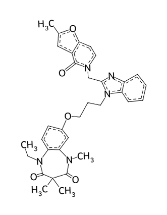 CCN1C(=O)C(C)(C)C(=O)N(C)c2cc(OCCCn3c(Cn4ccc5oc(C)cc5c4=O)nc4ccccc43)ccc21